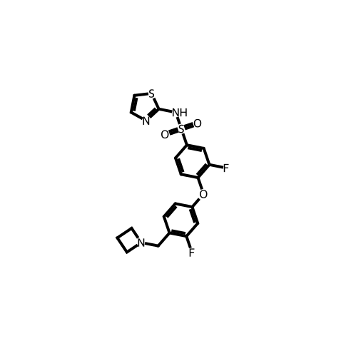 O=S(=O)(Nc1nccs1)c1ccc(Oc2ccc(CN3CCC3)c(F)c2)c(F)c1